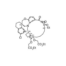 CCOC(=O)COC[C@]1(OCC(=O)OCC)CCCC[C@@H](CC)S(=O)(=O)NC(=O)c2ccc3c(c2)N(C[C@@H]2CC[C@H]21)C[C@@]1(CCCc2cc(Cl)ccc21)CO3